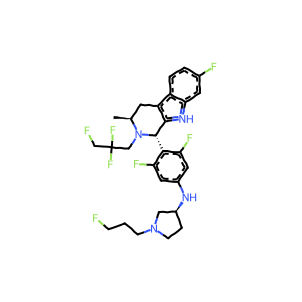 C[C@H]1Cc2c([nH]c3cc(F)ccc23)[C@H](c2c(F)cc(N[C@H]3CCN(CCCF)C3)cc2F)N1CC(F)(F)CF